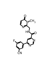 Cn1c(CNC(=O)c2cc(-c3cc(F)cc(C#N)c3)ncn2)nccc1=O